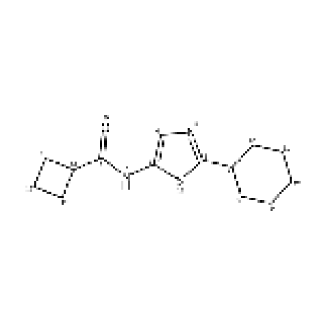 O=C(Nc1cnc(C2CCCCC2)s1)C1CCC1